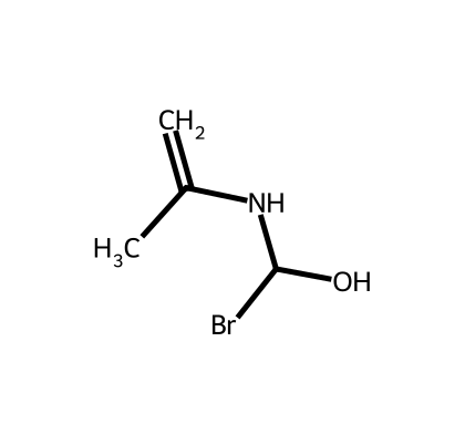 C=C(C)NC(O)Br